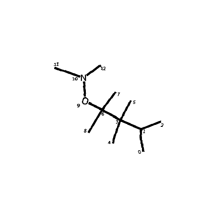 CC(C)C(C)(C)C(C)(C)ON(C)C